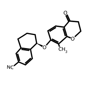 Cc1c(O[C@@H]2CCCc3cc(C#N)ccc32)ccc2c1OCCC2=O